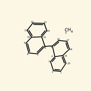 C.c1ccc2c(-c3cccc4ccccc34)cccc2c1